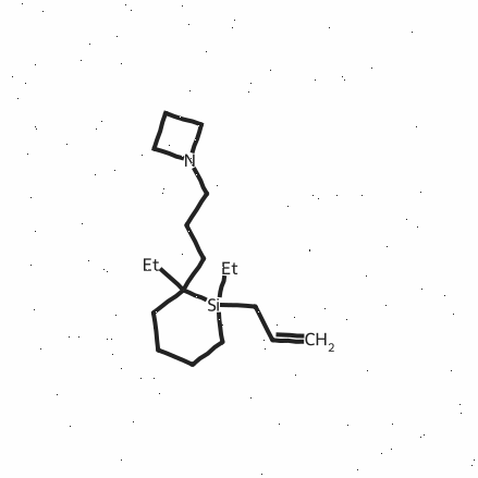 C=CC[Si]1(CC)CCCCC1(CC)CCCN1CCC1